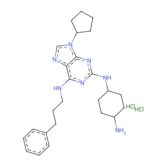 Cl.Cl.NC1CCC(Nc2nc(NCCCc3ccccc3)c3ncn(C4CCCC4)c3n2)CC1